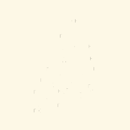 FC(F)(F)C(F)(F)C(F)(F)C1(F)OC(F)(C(F)(F)C(F)(F)C(F)(F)F)C(F)(F)C1(F)F